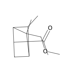 COCC1(C)C2C(C)C3(C(C)=O)C2CC13